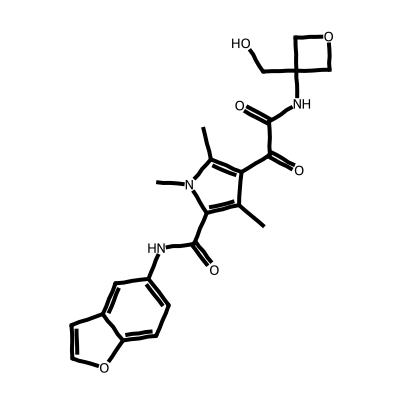 Cc1c(C(=O)C(=O)NC2(CO)COC2)c(C)n(C)c1C(=O)Nc1ccc2occc2c1